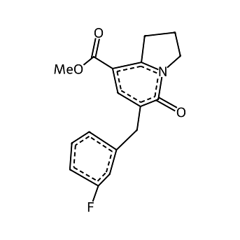 COC(=O)c1cc(Cc2cccc(F)c2)c(=O)n2c1CCC2